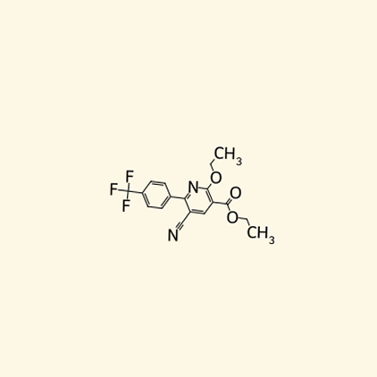 CCOC(=O)c1cc(C#N)c(-c2ccc(C(F)(F)F)cc2)nc1OCC